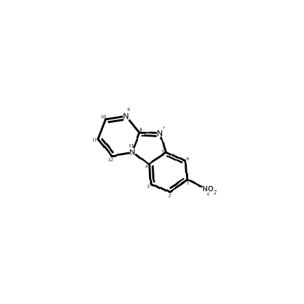 O=[N+]([O-])c1ccc2c(c1)nc1ncccn12